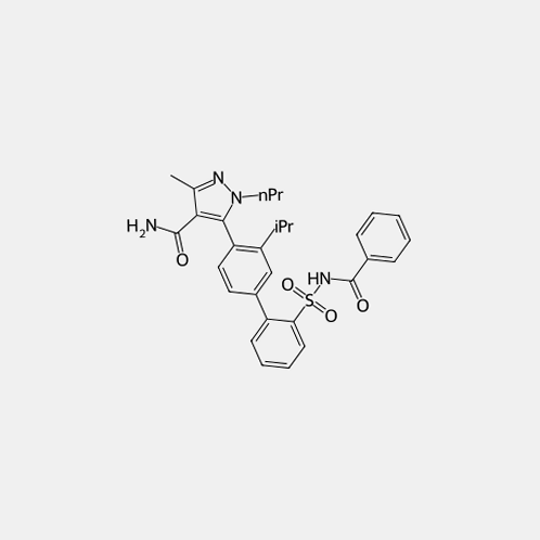 CCCn1nc(C)c(C(N)=O)c1-c1ccc(-c2ccccc2S(=O)(=O)NC(=O)c2ccccc2)cc1C(C)C